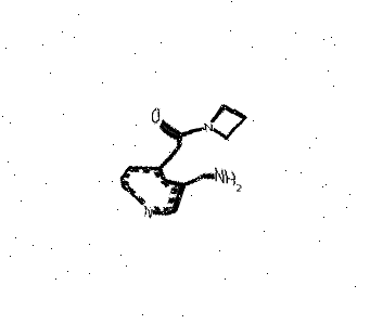 Nc1cnccc1C(=O)N1CCC1